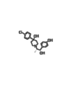 C[C@@H]([C@@H](O)c1ccc(O)cc1)N1CCC(O)(c2ccc(Cl)cc2)CC1